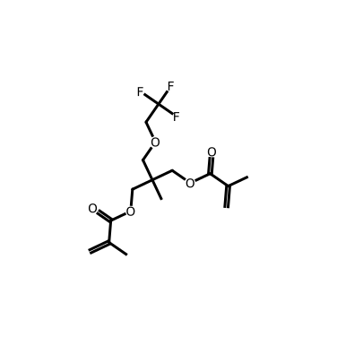 C=C(C)C(=O)OCC(C)(COCC(F)(F)F)COC(=O)C(=C)C